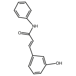 O=C(C=Cc1cccc(O)c1)Nc1ccccc1